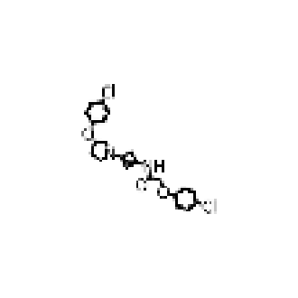 O=C(COc1ccc(Cl)cc1)NC12CC(N3CC[C@H](Oc4ccc(Cl)cc4)C3)(C1)C2